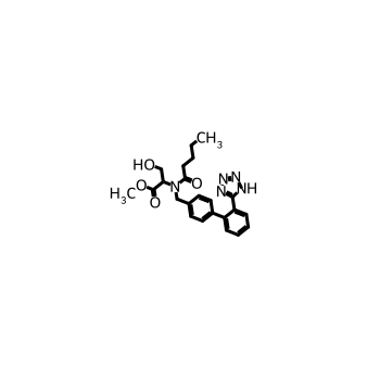 CCCCC(=O)N(Cc1ccc(-c2ccccc2-c2nnn[nH]2)cc1)C(CO)C(=O)OC